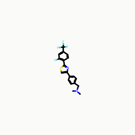 CN(C)Cc1ccc(-c2csc(-c3ccc(C(F)(F)F)cc3F)n2)cc1